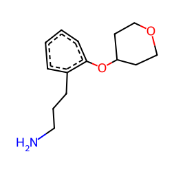 NCCCc1ccccc1OC1CCOCC1